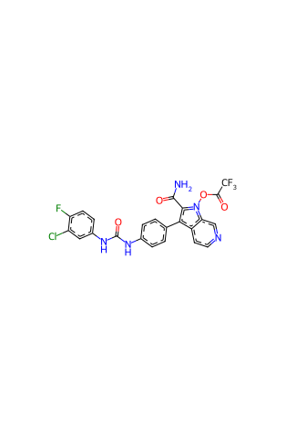 NC(=O)c1c(-c2ccc(NC(=O)Nc3ccc(F)c(Cl)c3)cc2)c2ccncc2n1OC(=O)C(F)(F)F